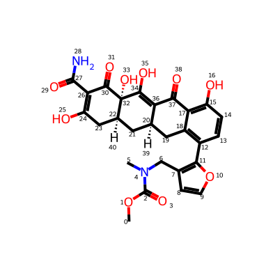 COC(=O)N(C)Cc1ccoc1-c1ccc(O)c2c1C[C@H]1C[C@H]3CC(O)=C(C(N)=O)C(=O)[C@@]3(O)C(O)=C1C2=O